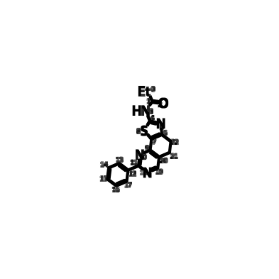 CCC(=O)Nc1nc2c(s1)-c1nc(-c3ccccc3)ncc1CC2